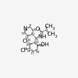 CC(C)C(=O)NC(c1ccncc1)c1c(O)ccc(Cl)c1Cl